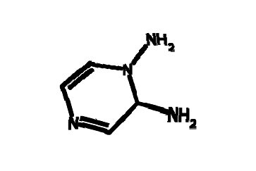 NC1C=NC=CN1N